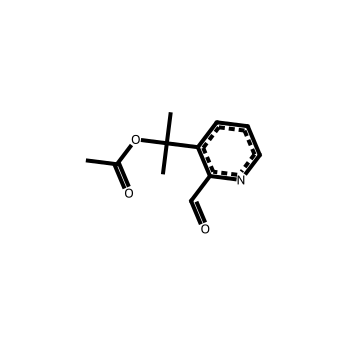 CC(=O)OC(C)(C)c1cccnc1C=O